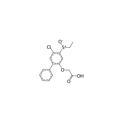 CC[S+]([O-])c1cc(OCC(=O)O)c(-c2ccccc2)cc1Cl